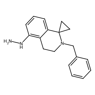 NNc1cccc2c1CCN(Cc1ccccc1)C21CC1